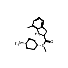 Cc1cccc2c1NC(C(=O)N(C)[C@H]1CC[C@H](N)CC1)C2